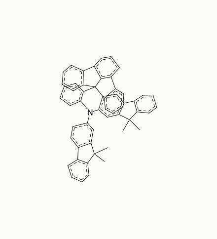 CC1(C)c2ccccc2-c2ccc(N(c3ccc4c(c3)C(C)(C)c3ccccc3-4)c3ccccc3C34c5ccccc5-c5cccc(c53)-c3ccccc34)cc21